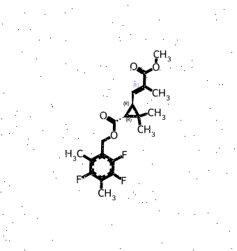 COC(=O)/C(C)=C/[C@@H]1[C@@H](C(=O)OCc2c(C)c(F)c(C)c(F)c2F)C1(C)C